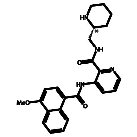 COc1ccc(C(=O)Nc2cccnc2C(=O)NC[C@H]2CCCCN2)c2ccccc12